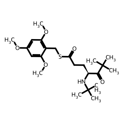 COc1cc(OC)c(CSC(=O)CC[C@H](NC(C)(C)C)C(=O)C(C)(C)C)c(OC)c1